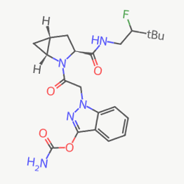 CC(C)(C)C(F)CNC(=O)[C@@H]1C[C@H]2C[C@H]2N1C(=O)Cn1nc(OC(N)=O)c2ccccc21